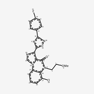 COCCn1c(=O)c2c(-c3nc(-c4ccc(F)cc4)no3)ncn2c2cccc(Cl)c21